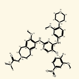 COc1cc([N+](=O)[O-])ccc1F.COc1cc2c(cc1Nc1ncc(Cl)c(Nc3ccc(N4CCOCC4)c(OC)c3)n1)CCN(CC(=O)N(C)C)CC2